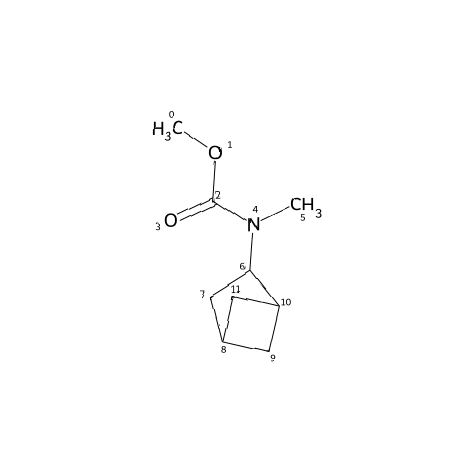 COC(=O)N(C)C1CC2CC1C2